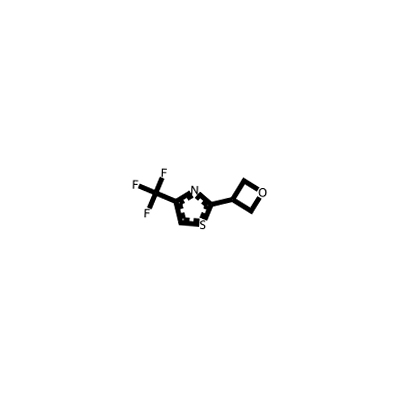 FC(F)(F)c1csc(C2COC2)n1